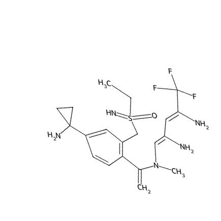 C=C(c1ccc(C2(N)CC2)cc1CS(=N)(=O)CC)N(C)/C=C(N)/C=C(\N)C(F)(F)F